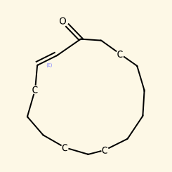 O=C1/C=C/CCCCCCCCCCCC1